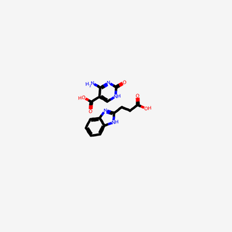 Nc1nc(=O)[nH]cc1C(=O)O.O=C(O)CCc1nc2ccccc2[nH]1